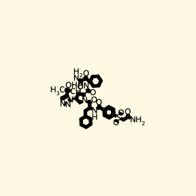 CC(C)(O)c1cnnn1[C@H]1C[C@@H](C(=O)NC2(C(=O)C(N)=O)CCCCC2)N(C(=O)C(CC2CCCCC2)NC(=O)c2ccc(S(=O)(=O)CC(N)=O)cc2)C1